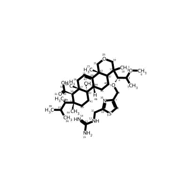 COC(C)[C@H](OCc1csc(CNC(=N)N)n1)C1(C)COC[C@@]2(C)C3=CC[C@@]4(C)[C@H](C(=O)O)[C@@](C)([C@H](C)C(C)C)CC[C@]4(C)[C@H]3CCC12